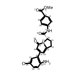 COC(=O)c1ccc(NC(=O)[C@@H]2CCc3cc(-c4cc(Cl)ccc4N)cc(=O)n32)cc1